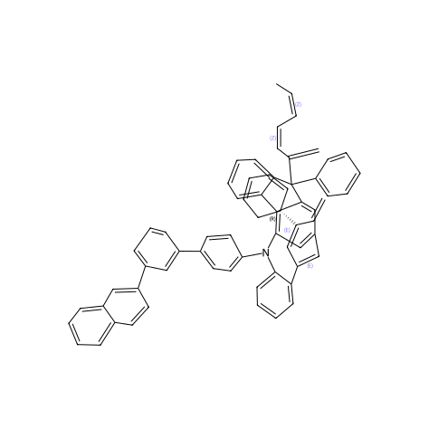 C=C/C(=C\C1=C/c2cc(c3c(c2)C(C(=C)/C=C\C=C/C)(c2ccccc2)c2ccccc2-3)N(c2ccc(-c3cccc(-c4ccc5ccccc5c4)c3)cc2)c2ccccc21)[C@H]1C=CC=CC1